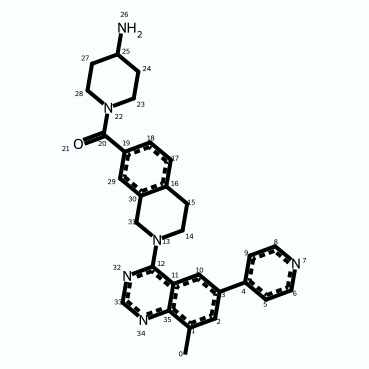 Cc1cc(-c2ccncc2)cc2c(N3CCc4ccc(C(=O)N5CCC(N)CC5)cc4C3)ncnc12